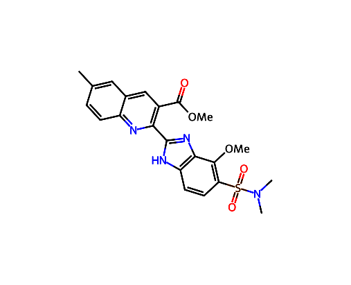 COC(=O)c1cc2cc(C)ccc2nc1-c1nc2c(OC)c(S(=O)(=O)N(C)C)ccc2[nH]1